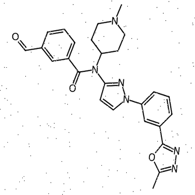 Cc1nnc(-c2cccc(-n3ccc(N(C(=O)c4cccc(C=O)c4)C4CCN(C)CC4)n3)c2)o1